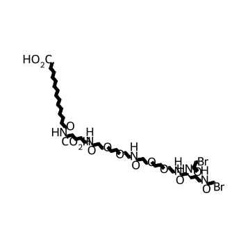 O=C(O)CCCCCCCCCCCCCCC(=O)NC(CCCCNC(=O)CCOCCOCCNC(=O)CCOCCOCCNC(=O)[C@H](CCCNC(=O)CBr)NC(=O)CBr)C(=O)O